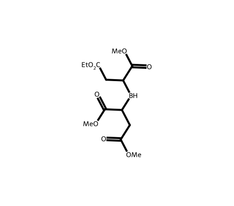 CCOC(=O)CC(BC(CC(=O)OC)C(=O)OC)C(=O)OC